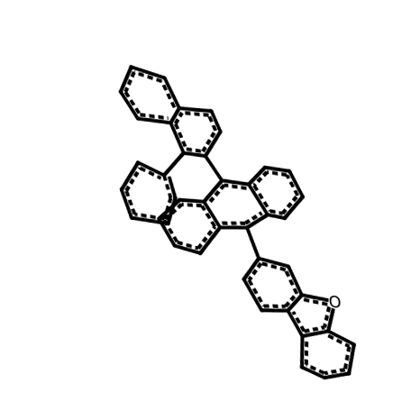 c1ccc(-c2c(-c3c4ccccc4c(-c4ccc5c(c4)oc4ccccc45)c4ccccc34)ccc3ccccc23)cc1